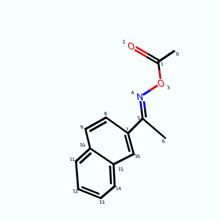 CC(=O)ON=C(C)c1ccc2ccccc2c1